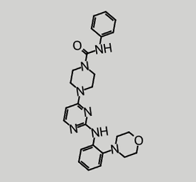 O=C(Nc1ccccc1)N1CCN(c2ccnc(Nc3ccccc3N3CCOCC3)n2)CC1